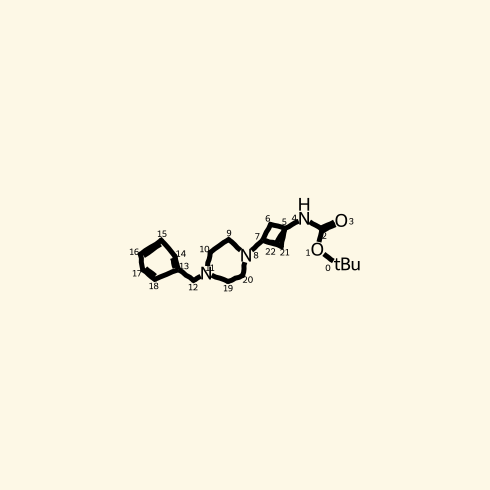 CC(C)(C)OC(=O)NC12CC(N3CCN(Cc4ccccc4)CC3)(C1)C2